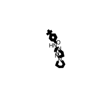 CC(C)(C)c1ccc(C(=O)Nc2cn3nc(N4CCCCCC4)ccc3n2)cc1